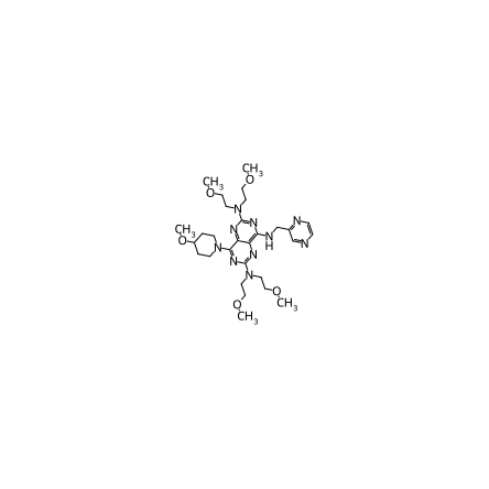 COCCN(CCOC)c1nc(N2CCC(OC)CC2)c2nc(N(CCOC)CCOC)nc(NCc3cnccn3)c2n1